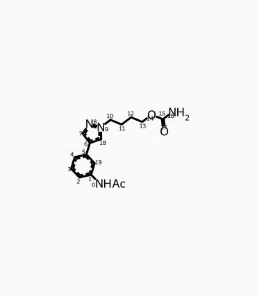 CC(=O)Nc1cccc(-c2cnn(CCCCOC(N)=O)c2)c1